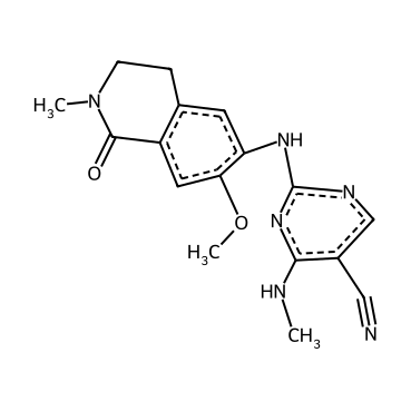 CNc1nc(Nc2cc3c(cc2OC)C(=O)N(C)CC3)ncc1C#N